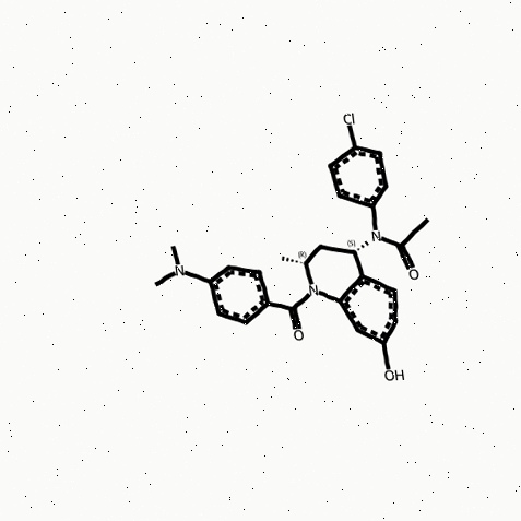 CC(=O)N(c1ccc(Cl)cc1)[C@H]1C[C@@H](C)N(C(=O)c2ccc(N(C)C)cc2)c2cc(O)ccc21